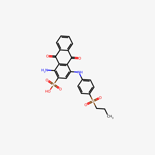 CCCS(=O)(=O)c1ccc(Nc2cc(S(=O)(=O)O)c(N)c3c2C(=O)c2ccccc2C3=O)cc1